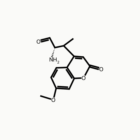 COc1ccc2c(C(C)[C@H](N)C=O)cc(=O)oc2c1